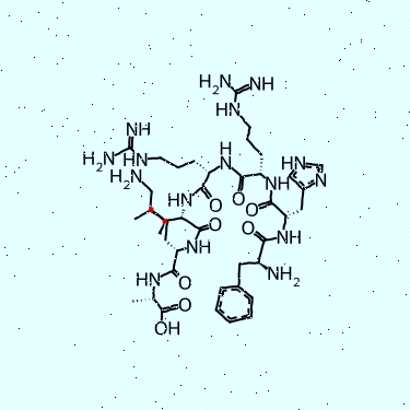 CC[C@H](C)[C@H](NC(=O)[C@H](CCCNC(=N)N)NC(=O)[C@H](CCCNC(=N)N)NC(=O)[C@H](Cc1c[nH]cn1)NC(=O)[C@@H](N)Cc1ccccc1)C(=O)N[C@@H](CCCCN)C(=O)N[C@@H](C)C(=O)O